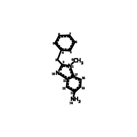 Cn1c(Cc2ccccc2)nc2cc(N)ccc21